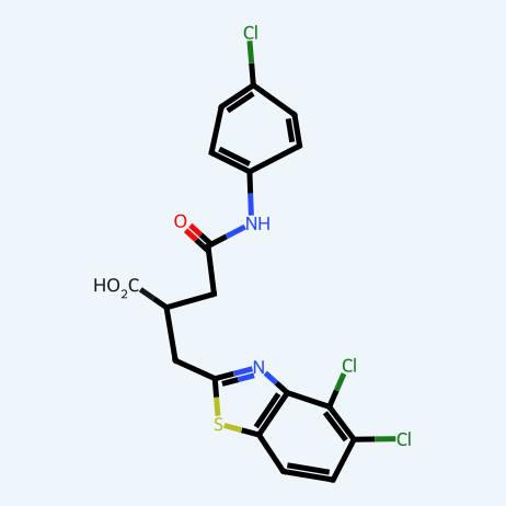 O=C(CC(Cc1nc2c(Cl)c(Cl)ccc2s1)C(=O)O)Nc1ccc(Cl)cc1